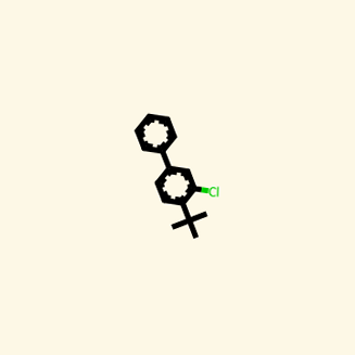 CC(C)(C)c1ccc(-c2ccccc2)cc1Cl